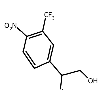 [CH2]C(CO)c1ccc([N+](=O)[O-])c(C(F)(F)F)c1